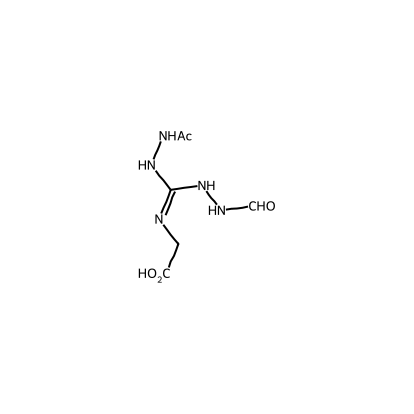 CC(=O)NN/C(=N/CC(=O)O)NNC=O